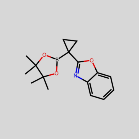 CC1(C)OB(C2(c3nc4ccccc4o3)CC2)OC1(C)C